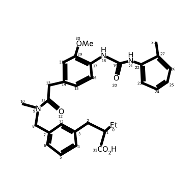 CCC(Cc1cccc(CN(C)C(=O)Cc2ccc(NC(=O)Nc3ccccc3C)c(OC)c2)c1)C(=O)O